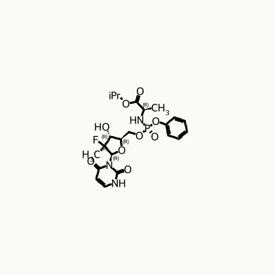 CC(C)OC(=O)[C@@H](C)NP(=O)(OC[C@H]1O[C@@H](n2c(=O)cc[nH]c2=O)[C@](C)(F)[C@@H]1O)Oc1ccccc1